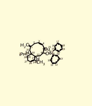 C=C1CC=CC[C@@H](O[Si](c2ccccc2)(c2ccccc2)C(C)(C)C)C[C@H]2C(C)=CC[C@H](C(C)C)[C@H]2C1